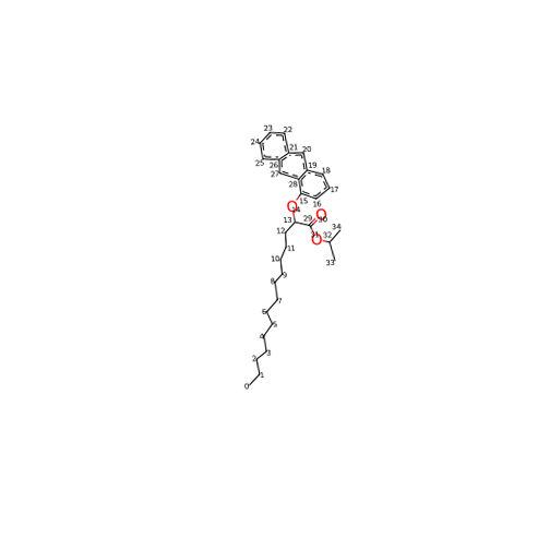 CCCCCCCCCCCCCC(Oc1cccc2cc3ccccc3cc12)C(=O)OC(C)C